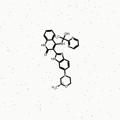 C[C@H]1CN(c2ccc3nc(-c4c(NC(C)(O)c5ncccn5)c5ccccc5[nH]c4=O)[nH]c3c2)CCO1